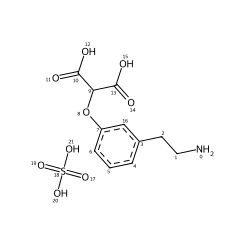 NCCc1cccc(OC(C(=O)O)C(=O)O)c1.O=S(=O)(O)O